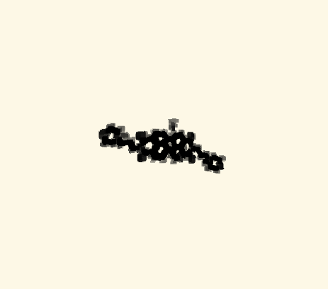 C[N+]1(CCCN2C(=O)c3ccc4c5ccc6c7c(ccc(c8ccc(c3c48)C2=O)c75)C(=O)N(CCC[N+]2(C)CCOCC2)C6=O)CCOCC1.[I-].[I-]